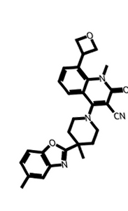 Cc1ccc2oc(C3(C)CCN(c4c(C#N)c(=O)n(C)c5c(C6COC6)cccc45)CC3)nc2c1